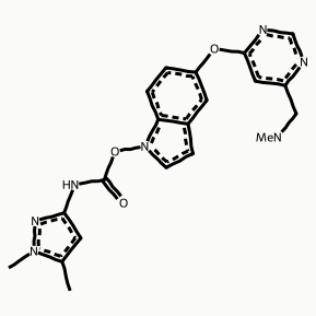 CNCc1cc(Oc2ccc3c(ccn3OC(=O)Nc3cc(C)n(C)n3)c2)ncn1